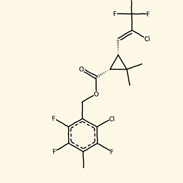 Cc1c(F)c(F)c(COC(=O)[C@@H]2[C@H](/C=C(\Cl)C(F)(F)F)C2(C)C)c(Cl)c1F